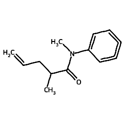 C=CCC(C)C(=O)N(C)C1=CC=C=C=C1